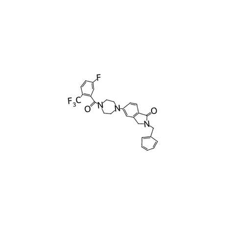 O=C1c2ccc(N3CCN(C(=O)c4cc(F)ccc4C(F)(F)F)CC3)cc2CN1Cc1ccccc1